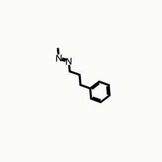 CN=NCCCc1ccccc1